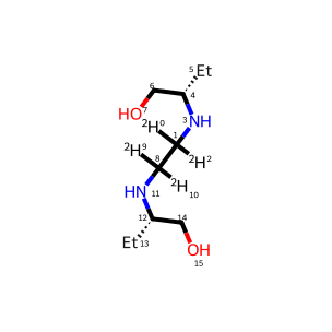 [2H]C([2H])(N[C@@H](CC)CO)C([2H])([2H])N[C@@H](CC)CO